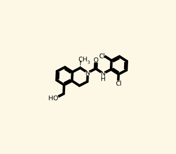 C[C@H]1c2cccc(CO)c2CCN1C(=O)Nc1c(Cl)cccc1Cl